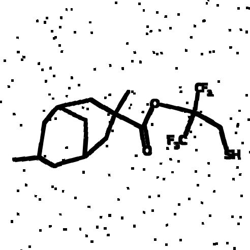 CC1CC2CC(C1)CC(C)(C(=O)OC(CS)(C(F)(F)F)C(F)(F)F)C2